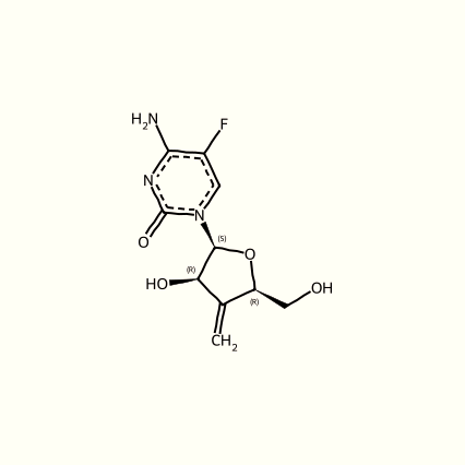 C=C1[C@H](CO)O[C@H](n2cc(F)c(N)nc2=O)[C@@H]1O